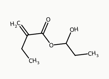 C=C(CC)C(=O)OC(O)CC